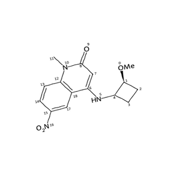 CO[C@H]1CCC1Nc1cc(=O)n(C)c2ccc([N+](=O)[O-])cc12